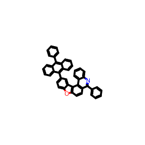 c1ccc(-c2c3ccccc3c(-c3ccc4oc5ccc6c(-c7ccccc7)nc7ccccc7c6c5c4c3)c3ccccc23)cc1